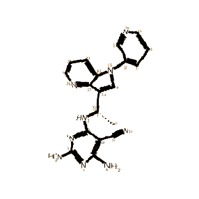 C[C@H](Nc1nc(N)nc(N)c1C#N)c1cn(-c2cccnc2)c2cccnc12